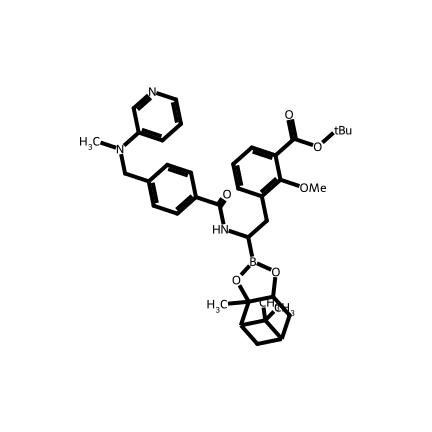 COc1c(CC(NC(=O)c2ccc(CN(C)c3cccnc3)cc2)B2OC3CC4CC(C4(C)C)C3(C)O2)cccc1C(=O)OC(C)(C)C